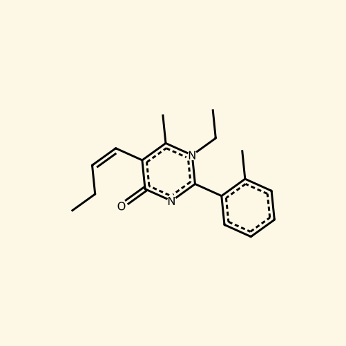 CC/C=C\c1c(C)n(CC)c(-c2ccccc2C)nc1=O